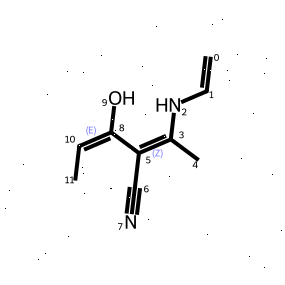 C=CN/C(C)=C(C#N)\C(O)=C/C